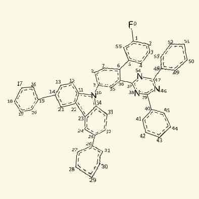 Fc1cccc(-c2ccc(-n3c4ccc(-c5ccccc5)cc4c4cc(-c5ccccc5)ccc43)cc2-c2nc(-c3ccccc3)nc(-c3ccccc3)n2)c1